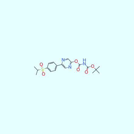 CC(C)S(=O)(=O)c1ccc(-c2cnc(OC(=O)NC(=O)OC(C)(C)C)cn2)cc1